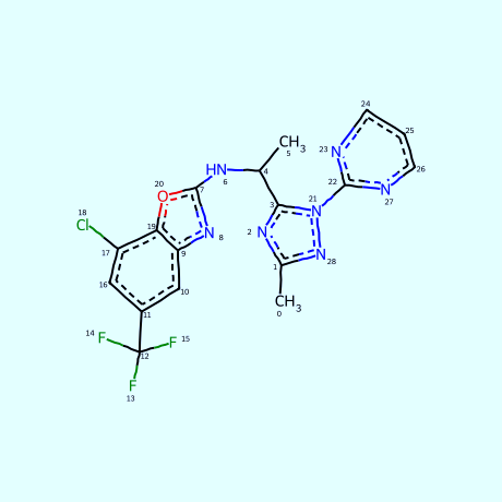 Cc1nc(C(C)Nc2nc3cc(C(F)(F)F)cc(Cl)c3o2)n(-c2ncccn2)n1